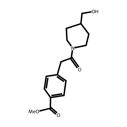 COC(=O)c1ccc(CC(=O)N2CCC(CO)CC2)cc1